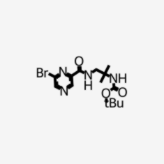 CC(C)(CNC(=O)c1cncc(Br)n1)NC(=O)OC(C)(C)C